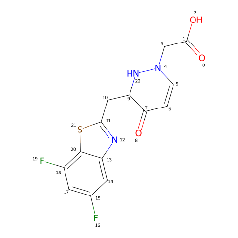 O=C(O)CN1C=CC(=O)C(Cc2nc3cc(F)cc(F)c3s2)N1